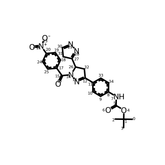 CC(C)(C)OC(=O)Nc1ccc(C2=NN(C(=O)c3ccc([N+](=O)[O-])cc3)C(C3=NN=CC3)C2)cc1